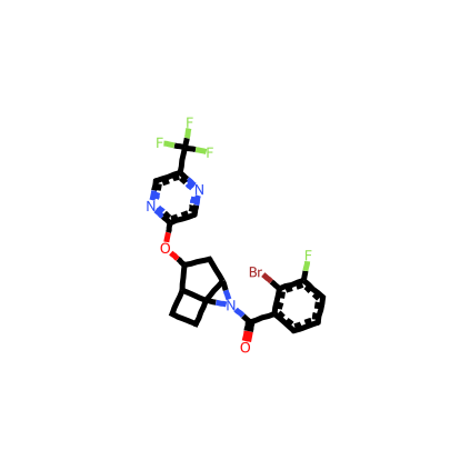 O=C(c1cccc(F)c1Br)N1C2CC(Oc3cnc(C(F)(F)F)cn3)C3CCC321